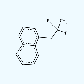 [CH2]C(F)(F)Cc1cccc2ccccc12